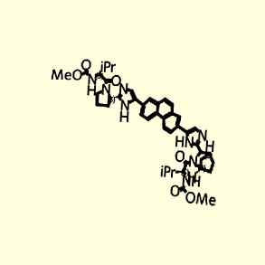 COC(=O)N[C@H](C(=O)N1CCC[C@H]1c1ncc(-c2ccc3c(ccc4cc(-c5cnc(C6[C@H]7CC[C@H](C7)N6C(=O)[C@@H](NC(=O)OC)C(C)C)[nH]5)ccc43)c2)[nH]1)C(C)C